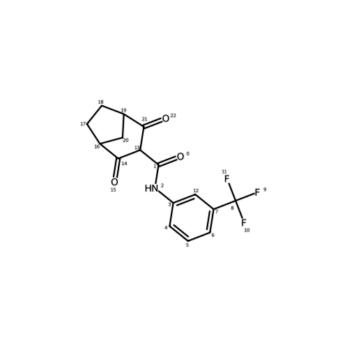 O=C(Nc1cccc(C(F)(F)F)c1)C1C(=O)C2CCC(C2)C1=O